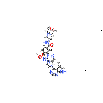 CCS(=O)(=O)/N=C(\Nc1cccc(C(=O)NCCN2CCOCC2)c1)N1CCN(c2ncnc3[nH]cc(C)c23)C[C@@H]1C